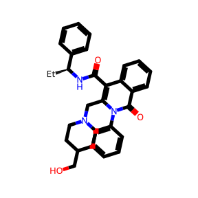 CC[C@H](NC(=O)c1c(CN2CCC(CO)CC2)n(-c2ccccc2)c(=O)c2ccccc12)c1ccccc1